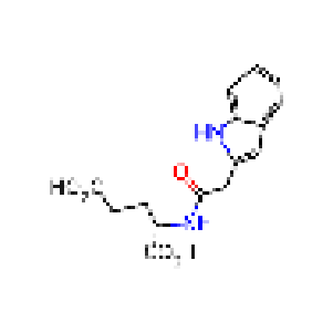 O=C(O)CC[C@H](NC(=O)Cc1cc2ccccc2[nH]1)C(=O)O